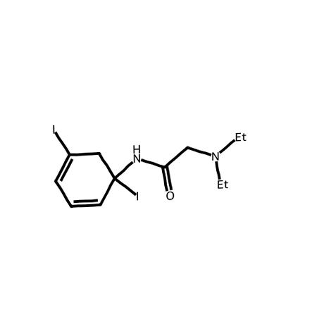 CCN(CC)CC(=O)NC1(I)C=CC=C(I)C1